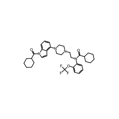 O=C(C1CCCCC1)N(CCN1CCN(c2cccc3c2ccn3C(=O)C2CCCCC2)CC1)c1ccccc1OC(F)(F)F